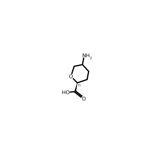 NC1CC[C@@H](C(=O)O)OC1